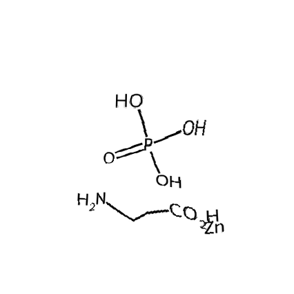 NCC(=O)O.O=P(O)(O)O.[Zn]